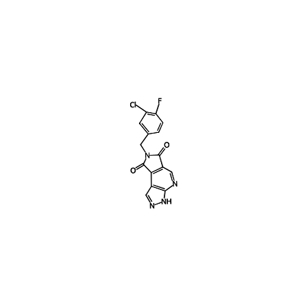 O=C1c2cnc3[nH]ncc3c2C(=O)N1Cc1ccc(F)c(Cl)c1